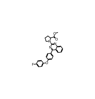 COC(=O)C1CCCN1c1nc(-c2ccc(Oc3ccc(F)cc3)cc2)c2ccccc2n1